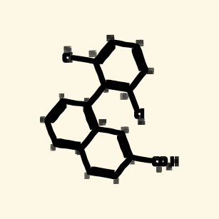 O=C(O)c1ccc2cccc(-c3c(Cl)cccc3Cl)c2c1